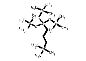 C[N+](C)(C)CCC[Si](O[Si](C)(C)C)(O[Si](C)(C)C)O[Si](C)(C)C.[I-]